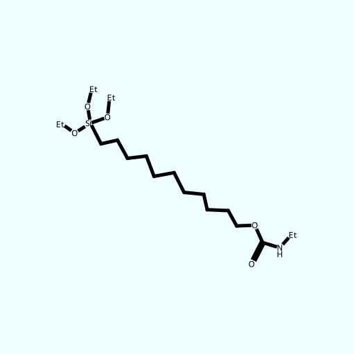 [CH2]CNC(=O)OCCCCCCCCCCC[Si](OC[CH2])(OCC)OCC